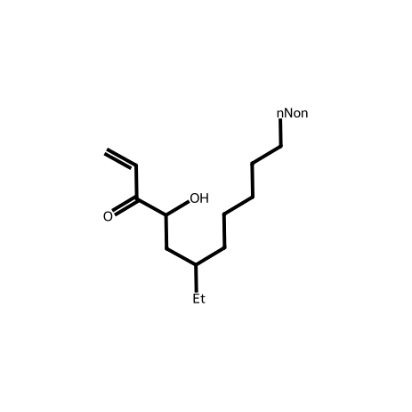 [CH2]CC(CCCCCCCCCCCCCC)CC(O)C(=O)C=C